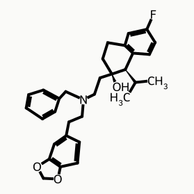 CC(C)[C@@H]1c2ccc(F)cc2CC[C@@]1(O)CCN(CCc1ccc2c(c1)OCO2)Cc1ccccc1